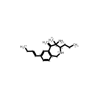 C=C1c2cc(C=CCC)ccc2CNC(CCC)C1(C)N